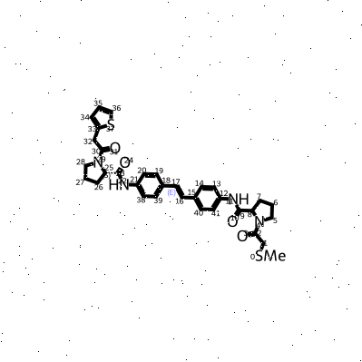 CSCC(=O)N1CCCC1C(=O)Nc1ccc(/C=C/c2ccc(NC(=O)[C@@H]3CCCN3C(=O)Cc3cccs3)cc2)cc1